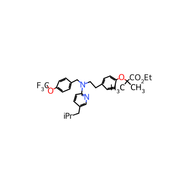 CCOC(=O)C(C)(C)Oc1ccc(CCN(Cc2ccc(OC(F)(F)F)cc2)c2ccc(CC(C)C)cn2)cc1